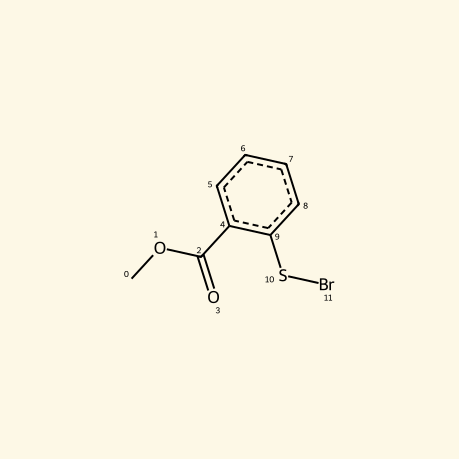 COC(=O)c1ccccc1SBr